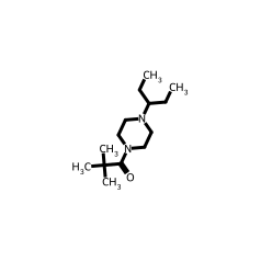 CCC(CC)N1CCN(C(=O)C(C)(C)C)CC1